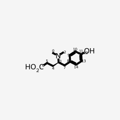 CN(C)[C@H](CCC(=O)O)Cc1ccc(O)cc1